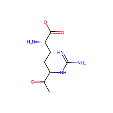 CC(=O)C(CC[C@H](N)C(=O)O)NC(=N)N